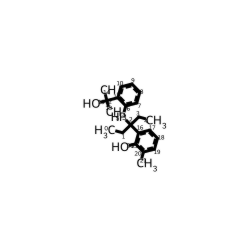 CCC(CC)(Pc1ccccc1C(C)(C)O)c1cccc(C)c1O